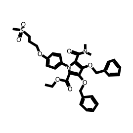 CCOC(=O)c1c(OCc2ccccc2)c(OCc2ccccc2)c(C(=O)N(C)C)n1-c1ccc(OCCCS(C)(=O)=O)cc1